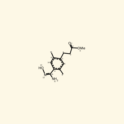 COC(=O)CCc1cc(C)c(/C(N)=N\O)cc1C